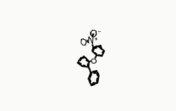 O=[N+]([O-])c1cccc(Oc2ccccc2-c2ccccc2)c1